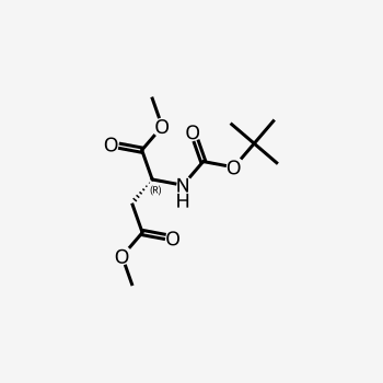 COC(=O)C[C@@H](NC(=O)OC(C)(C)C)C(=O)OC